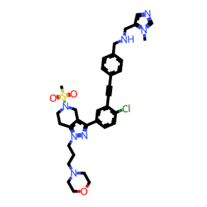 Cn1cncc1CNCc1ccc(C#Cc2cc(-c3nn(CCCN4CCOCC4)c4c3CN(S(C)(=O)=O)CC4)ccc2Cl)cc1